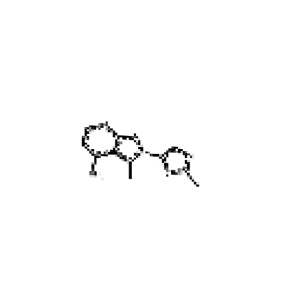 Cc1ncc(-n2nc3nccc(N)c3c2C)s1